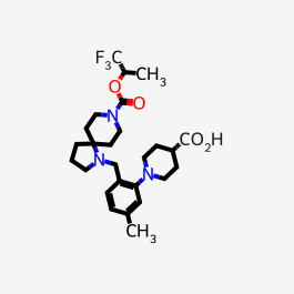 Cc1ccc(CN2CCCC23CCN(C(=O)OC(C)C(F)(F)F)CC3)c(N2CCC(C(=O)O)CC2)c1